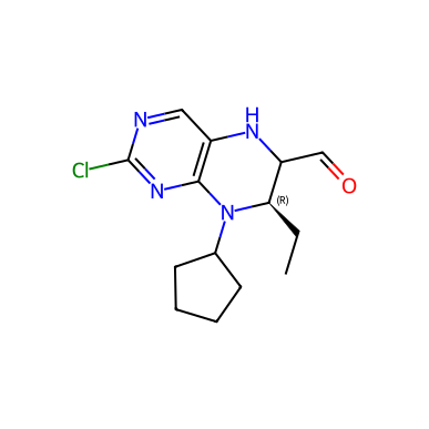 CC[C@@H]1C(C=O)Nc2cnc(Cl)nc2N1C1CCCC1